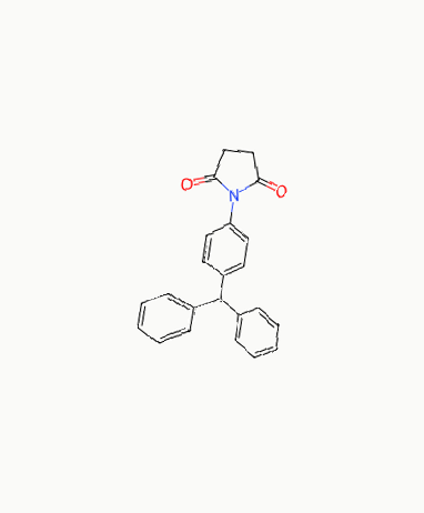 O=C1CCC(=O)N1c1ccc([C](c2ccccc2)c2ccccc2)cc1